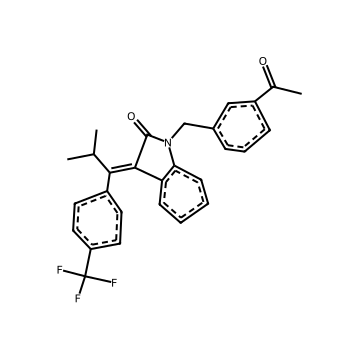 CC(=O)c1cccc(CN2C(=O)/C(=C(/c3ccc(C(F)(F)F)cc3)C(C)C)c3ccccc32)c1